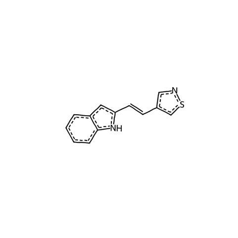 C(=Cc1cc2ccccc2[nH]1)c1cnsc1